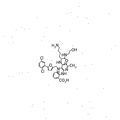 Cc1nc(Nc2ccccc2C(=O)O)c(NCc2ccc(-c3cc(Cl)ccc3Cl)o2)c(NC(CCCCN)C(=O)NCCO)n1